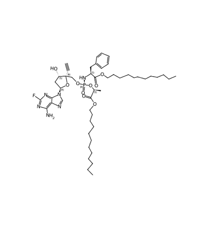 C#C[C@]1(CO[P@](=O)(N[C@@H](Cc2ccccc2)C(=O)OCCCCCCCCCCCC)O[C@@H](C)C(=O)OCCCCCCCCCCCC)O[C@@H](n2cnc3c(N)nc(F)nc32)C[C@@H]1O